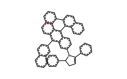 C1=C(c2ccccc2)N(c2ccc3c(-c4c(-c5ccccc5)ccc5ccccc45)c4ccccc4c(-c4ccc5ccccc5c4)c3c2)C(c2ccccc2)C1